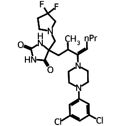 CCC/C=C(\C(C)CC1(CN2CCC(F)(F)C2)NC(=O)NC1=O)N1CCN(c2cc(Cl)cc(Cl)c2)CC1